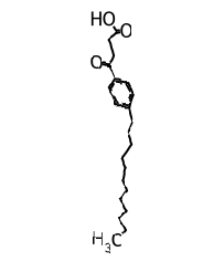 CCCCCCCCCCCCc1ccc(C(=O)CCC(=O)O)cc1